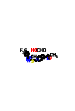 Cc1cc(-c2ccc3c(c2)CCN(CCSc2nnc(-c4ccc(C(F)(F)F)cc4)n2C)CC3)no1.O=CO